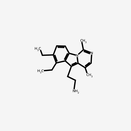 CCc1ccc2c(c1CC)c(CCN)c1c(C)cnc(C)n12